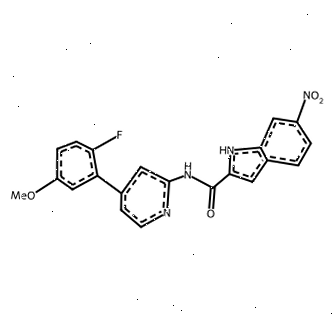 COc1ccc(F)c(-c2ccnc(NC(=O)c3cc4ccc([N+](=O)[O-])cc4[nH]3)c2)c1